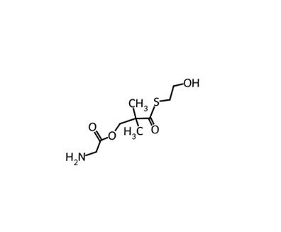 CC(C)(COC(=O)CN)C(=O)SCCO